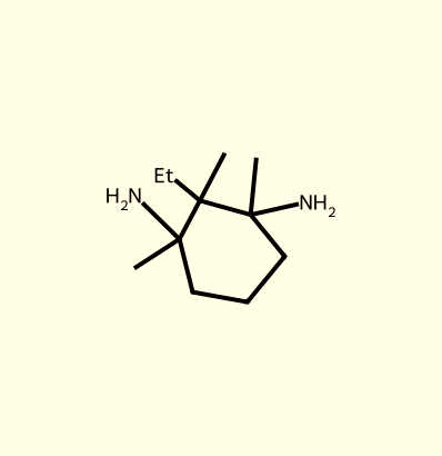 CCC1(C)C(C)(N)CCCC1(C)N